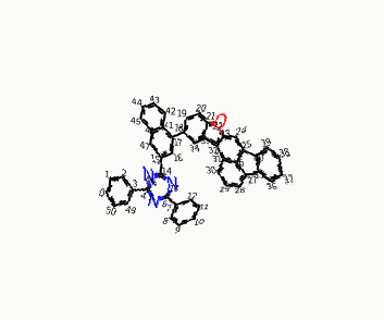 c1ccc(-c2nc(-c3ccccc3)nc(-c3cc(-c4ccc5oc6cc7c8c(cccc8c6c5c4)-c4ccccc4-7)c4ccccc4c3)n2)cc1